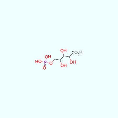 O=C(O)C(O)C(O)C(O)COP(=O)(O)O